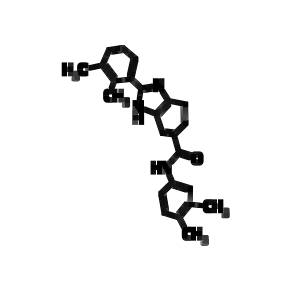 Cc1ccc(NC(=O)c2ccc3nc(-c4cccc(C)c4C)[nH]c3c2)cc1C